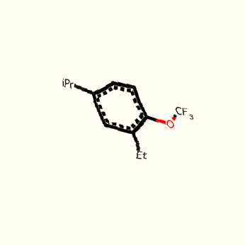 CCc1cc(C(C)C)ccc1OC(F)(F)F